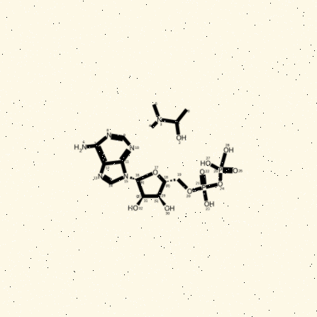 CC(O)N(C)C.Nc1ncnc2c1ncn2[C@@H]1O[C@H](COP(=O)(O)OP(=O)(O)O)[C@@H](O)[C@H]1O